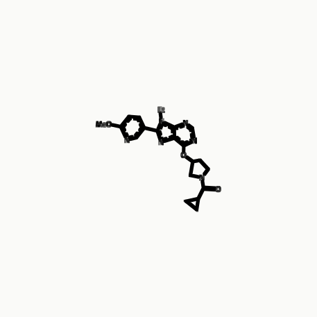 CCn1c(-c2ccc(OC)nc2)nc2c(OC3CCN(C(=O)C4CC4)C3)ncnc21